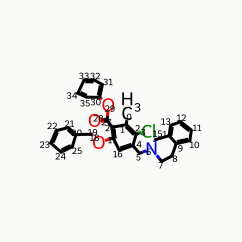 Cc1c(Cl)c(CN2CCc3ccccc3C2)cc(OCc2ccccc2)c1C(=O)Oc1ccccc1